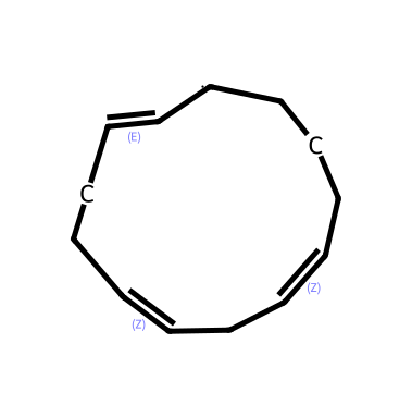 [CH]1/C=C/CC/C=C\C/C=C\CCC1